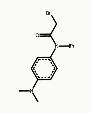 CC(C)N(C(=O)CBr)c1ccc(N(C)C)cc1